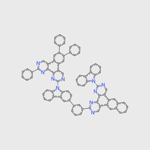 c1ccc(-c2ncc3c4cc(-c5ccccc5)c(-c5ccccc5)cc4c4cnc(-n5c6ccccc6c6cc(-c7cccc(-c8ncc9c%10cc%11ccccc%11cc%10c%10cnc(-n%11c%12ccccc%12c%12ccccc%12%11)nc%10c9n8)c7)ccc65)nc4c3n2)cc1